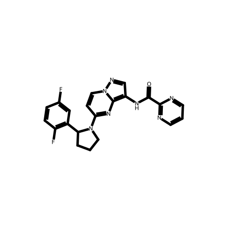 O=C(Nc1cnn2ccc(N3CCCC3c3cc(F)ccc3F)nc12)c1ncccn1